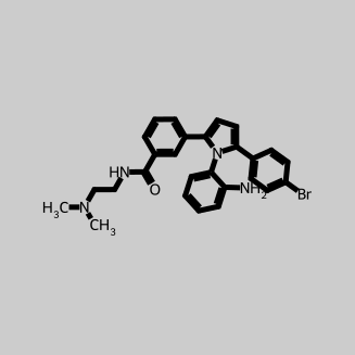 CN(C)CCNC(=O)c1cccc(-c2ccc(-c3ccc(Br)cc3)n2-c2ccccc2N)c1